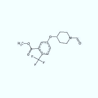 COC(=O)c1cc(OC2CCN([C]=O)CC2)ccc1C(F)(F)F